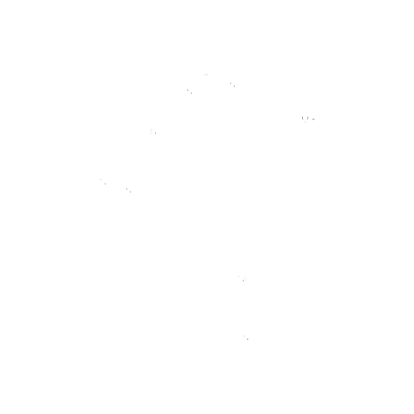 CCNCCNc1ccc(-c2cc3c(N4CCN(C(=O)N5CC(COC)C5)CC4)ccnn3c2)cc1